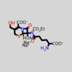 CCOC(=O)N(C(=O)CCCC(N)C(=O)[O-])C1(OC)C(=O)N2C(C(=O)[O-])=C(CO)CS[C@H]21.[Na+].[Na+]